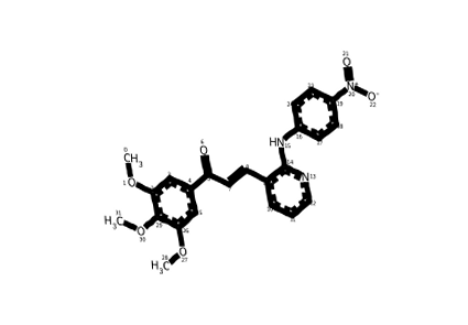 COc1cc(C(=O)/C=C/c2cccnc2Nc2ccc([N+](=O)[O-])cc2)cc(OC)c1OC